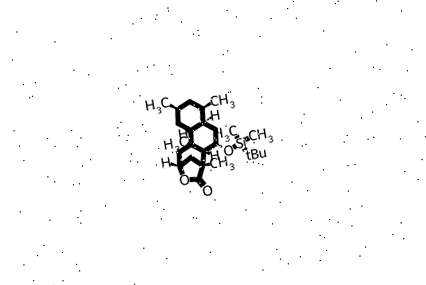 C[C@H]1C[C@@H](C)[C@H]2C[C@H](O[Si](C)(C)C(C)(C)C)[C@H]3[C@@](C)(C[C@@H]4C[C@@]3(C)C(=O)O4)[C@@H]2C1